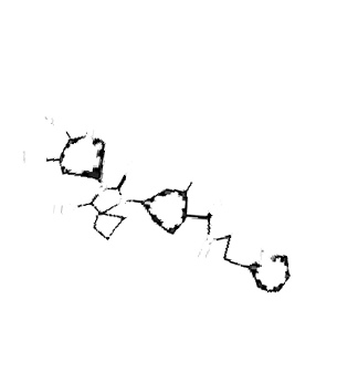 N#Cc1ncc(N2C(=S)N(c3ccc(C(=O)NCCc4ccccn4)c(F)c3)C3(CCC3)C2O)cc1C(F)(F)F